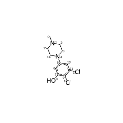 CN1CCN(c2cc(O)c(Cl)c(Cl)c2)CC1